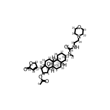 CC(=O)O[C@H]1C[C@]2(O)[C@@H]3CC[C@@H]4C[C@@H](N(C)C(=O)NCCN5CCOCC5)CC[C@]4(C)[C@H]3CC[C@]2(C)[C@H]1C1=CC(=O)OC1